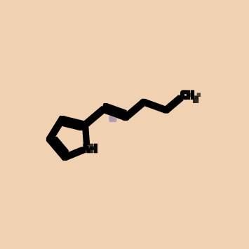 [CH2]CC/C=C/c1ccc[nH]1